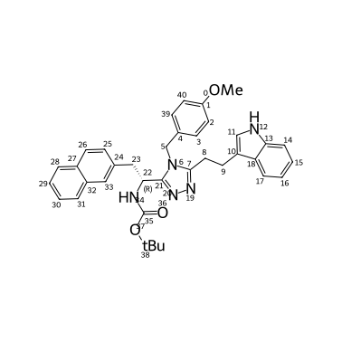 COc1ccc(Cn2c(CCc3c[nH]c4ccccc34)nnc2[C@@H](Cc2ccc3ccccc3c2)NC(=O)OC(C)(C)C)cc1